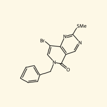 CSc1ncc2c(=O)n(Cc3ccccc3)cc(Br)c2n1